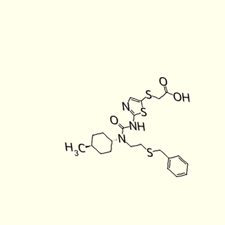 C[C@H]1CC[C@H](N(CCSCc2ccccc2)C(=O)Nc2ncc(SCC(=O)O)s2)CC1